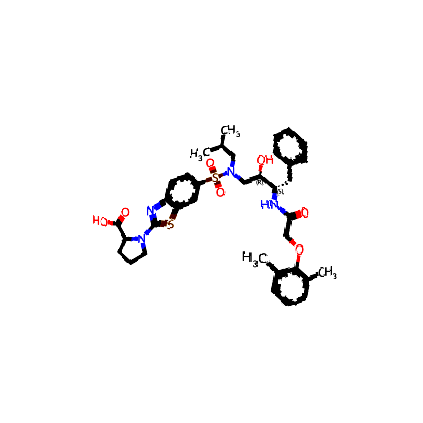 Cc1cccc(C)c1OCC(=O)N[C@@H](Cc1ccccc1)[C@H](O)CN(CC(C)C)S(=O)(=O)c1ccc2nc(N3CCCC3C(=O)O)sc2c1